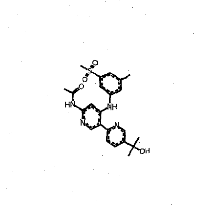 CC(=O)Nc1cc(Nc2cc(C)cc(S(C)(=O)=O)c2)c(-c2ccc(C(C)(C)O)cn2)cn1